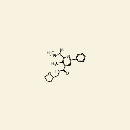 C=NN(CC)c1nc(-c2ccccc2)cc(C(=O)NCC2CCCO2)c1C